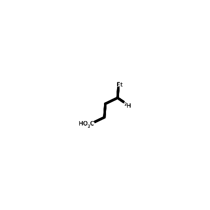 [2H]C(CC)CCC(=O)O